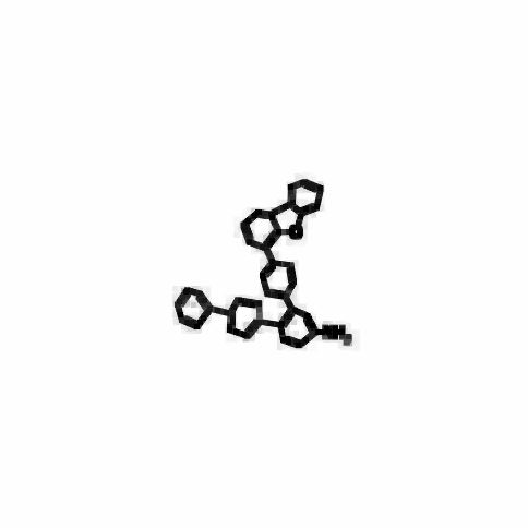 Nc1ccc(-c2ccc(-c3ccccc3)cc2)c(-c2ccc(-c3cccc4c3oc3ccccc34)cc2)c1